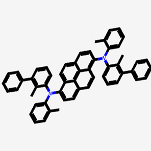 Cc1ccccc1N(c1cccc(-c2ccccc2)c1C)c1ccc2ccc3c(N(c4ccccc4C)c4cccc(-c5ccccc5)c4C)ccc4ccc1c2c43